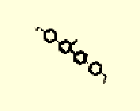 CCC[C@H]1CC[C@H](c2ccc(-c3ccc([C@H]4CC[C@H](CF)CC4)cc3)c(F)c2)CC1